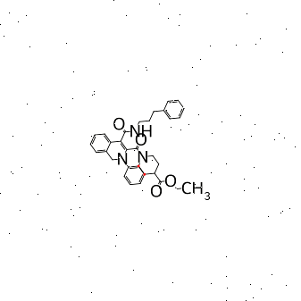 CCOC(=O)C1CCN(C(=O)C2=C(C(=O)NCCCc3ccccc3)c3ccccc3CN2c2ccccc2)CC1